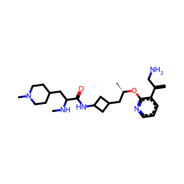 C=C(CN)c1cccnc1O[C@@H](C)CC1CC(NC(=O)C(CC2CCN(C)CC2)NC)C1